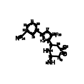 CC1C(=N)NC(c2sc(-c3cccc(C#N)c3)cc2F)CS1(=O)=O